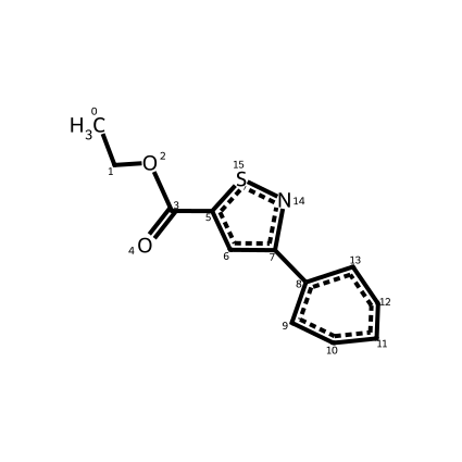 CCOC(=O)c1cc(-c2ccccc2)ns1